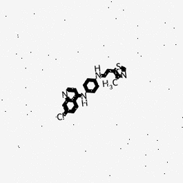 Cc1ncsc1CCN[C@H]1CC[C@@H](Nc2ccnc3cc(Cl)ccc23)CC1